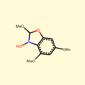 COc1cc(OC)c2c(c1)OC(OC)N2O